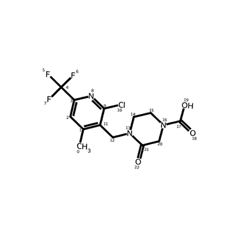 Cc1cc(C(F)(F)F)nc(Cl)c1CN1CCN(C(=O)O)CC1=O